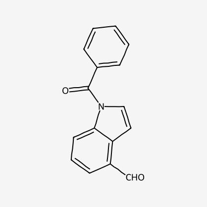 O=Cc1cccc2c1ccn2C(=O)c1ccccc1